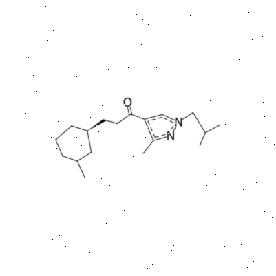 Cc1nn(CC(C)C)cc1C(=O)CC[C@@H]1CCCC(C)C1